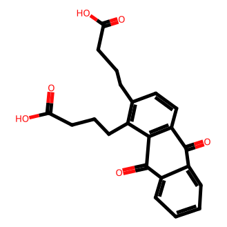 O=C(O)CCCc1ccc2c(c1CCCC(=O)O)C(=O)c1ccccc1C2=O